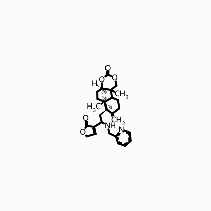 C=C1CCC2C3(C)COC(=O)O[C@@H]3CC[C@@]2(C)[C@@H]1CC(NCc1ccccn1)C1=CCOC1=O